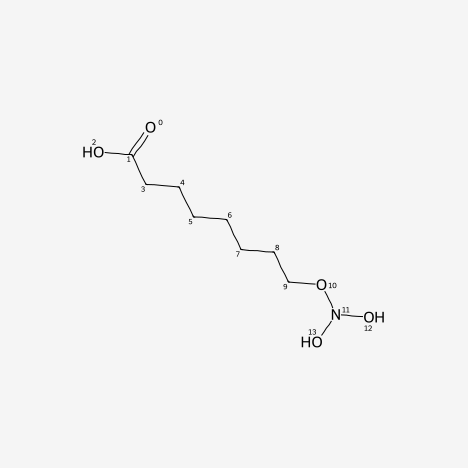 O=C(O)CCCCCCCON(O)O